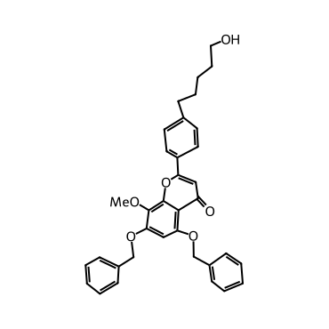 COc1c(OCc2ccccc2)cc(OCc2ccccc2)c2c(=O)cc(-c3ccc(CCCCCO)cc3)oc12